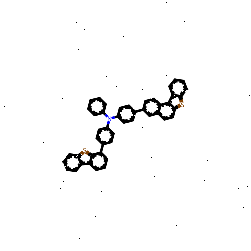 c1ccc(N(c2ccc(-c3ccc4c(ccc5sc6ccccc6c54)c3)cc2)c2ccc(-c3cccc4c3sc3ccccc34)cc2)cc1